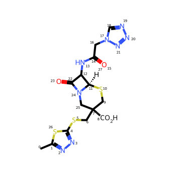 Cc1nnc(SCC2(C(=O)O)CS[C@@H]3C(NC(=O)Cn4cnnn4)C(=O)N3C2)s1